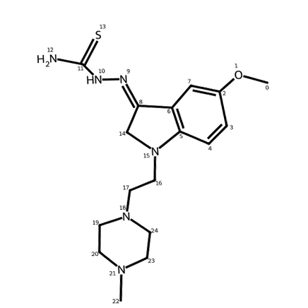 COc1ccc2c(c1)/C(=N/NC(N)=S)CN2CCN1CCN(C)CC1